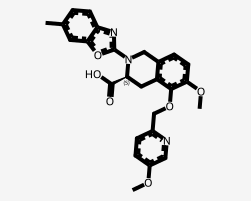 COc1ccc(COc2c(OC)ccc3c2C[C@@H](C(=O)O)N(c2nc4ccc(C)cc4o2)C3)nc1